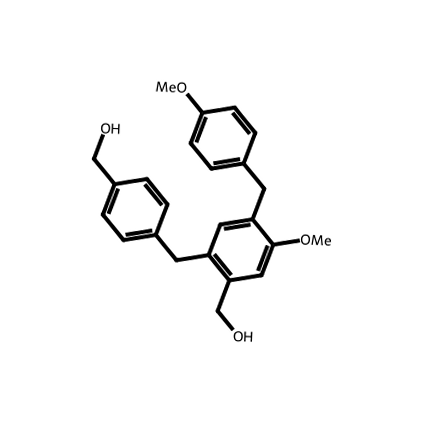 COc1ccc(Cc2cc(Cc3ccc(CO)cc3)c(CO)cc2OC)cc1